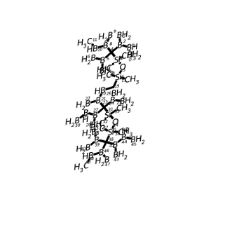 BBB(B)C(B(B)B)(B(B)BC)[Si](C)(C)O[Si](C)(C)CBB(B)C(B(B)B)(B(B)BB)[Si](C)(C)O[Si](C)(C)C(B(B)B)(B(B)BB)B(B)BC